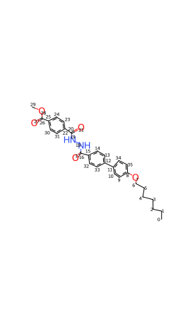 CCCCCCCOc1ccc(-c2ccc(C(=O)NNC(=O)c3ccc(C(=O)OC)cc3)cc2)cc1